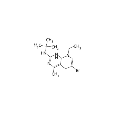 CCN1C=C(Br)CC2=C(C)N=C(NC(C)(C)C)NC21